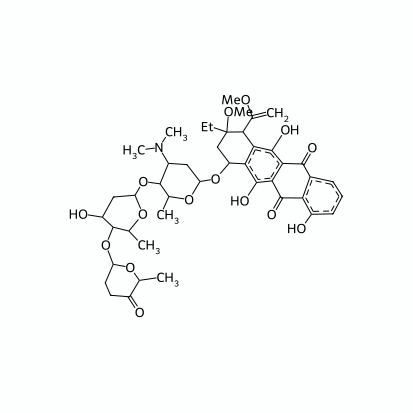 C=C(OC)C1c2c(O)c3c(c(O)c2C(OC2CC(N(C)C)C(OC4CC(O)C(OC5CCC(=O)C(C)O5)C(C)O4)C(C)O2)CC1(CC)OC)C(=O)c1c(O)cccc1C3=O